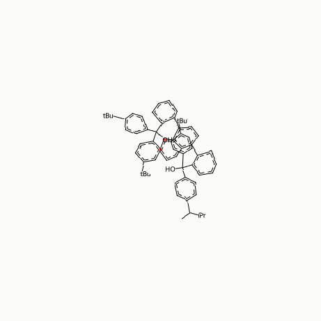 CC(C)C(C)c1ccc(C(O)(c2ccc(C(C)(C)C)cc2)c2ccccc2-c2ccc(-c3ccccc3C(O)(c3ccc(C(C)(C)C)cc3)c3ccc(C(C)(C)C)cc3)c3ccccc23)cc1